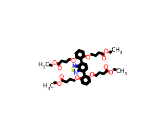 CCOC(=O)CCCOc1cccc(OCCCC(=O)OCC)c1-c1ccc(-c2c(OCCCC(=O)OCC)cccc2OCCCC(=O)OCC)c2nsnc12